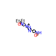 CCC(CC)C(=O)N1CCC(N(Cc2cnc(-c3ccc(N[S+](C)[O-])cc3)cn2)C2CC2)CC1